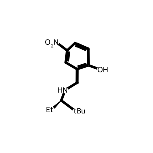 CC[C@@H](NCc1cc([N+](=O)[O-])ccc1O)C(C)(C)C